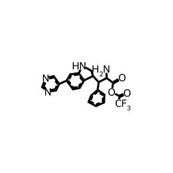 NC(C(=O)OC(=O)C(F)(F)F)C(c1ccccc1)C1CNc2cc(-c3cncnc3)ccc21